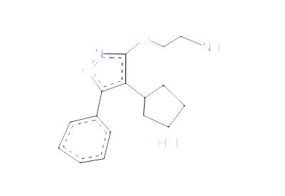 Cl.NCCOc1noc(-c2ccccc2)c1C1CCCC1